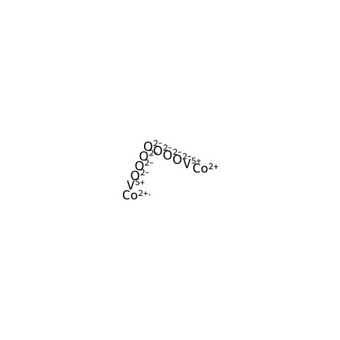 [Co+2].[Co+2].[O-2].[O-2].[O-2].[O-2].[O-2].[O-2].[O-2].[V+5].[V+5]